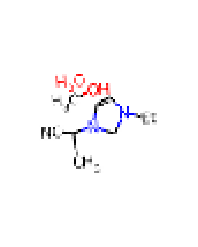 CCN1C=CN(C(C)C#N)C1.CO.O